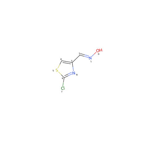 ON=Cc1csc(Cl)n1